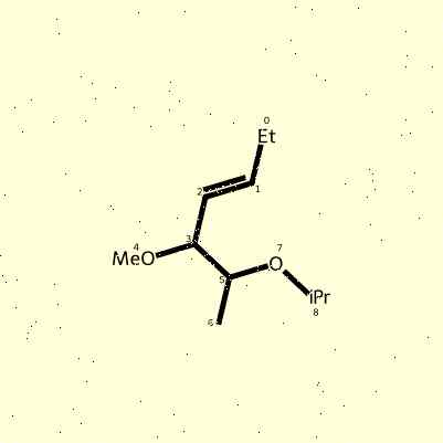 [CH2]CC=CC(OC)C(C)OC(C)C